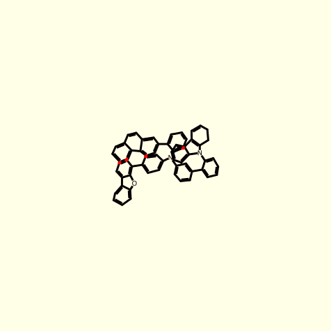 C1=Cc2c(n(-c3ccccc3-c3cccc(N(c4ccc(-c5cccc6c5oc5ccccc56)cc4)c4ccccc4-c4ccc5c(ccc6ccccc65)c4)c3)c3ccccc23)CC1